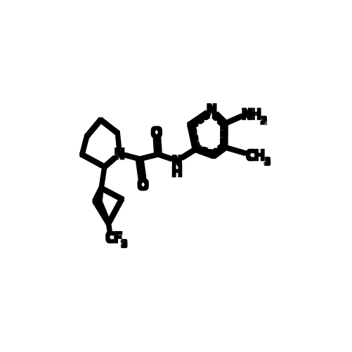 Cc1cc(NC(=O)C(=O)N2CCCCC2C23CC(C(F)(F)F)(C2)C3)cnc1N